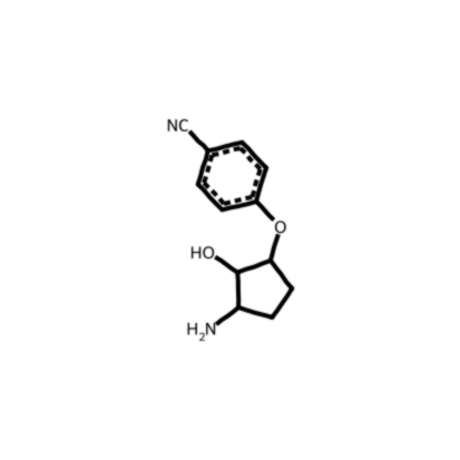 N#Cc1ccc(OC2CCC(N)C2O)cc1